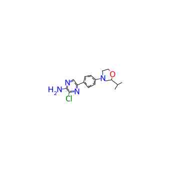 CC(C)C1CN(c2ccc(-c3cnc(N)c(Cl)n3)cc2)CCO1